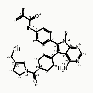 C=C(C)C(=O)Nc1ccc(-c2c(C3=CC[C@H](C(=O)N4CC[C@@H](CO)C4)CC3)c3c(N)ncnc3n2C)cc1